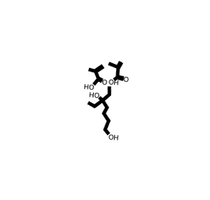 C=C(C)C(=O)O.C=C(C)C(=O)O.CCC(O)(CC)CCCCO